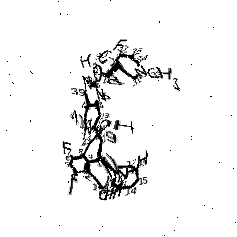 C#Cc1c(F)cc(F)c2c1C(N1C[C@H]3CC[C@@H](C1)N3)=CC(O)(c1cc3nc(OC[C@]4(C)CN(C)CC[C@H]4F)ncc3cn1)C2